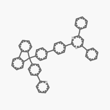 c1ccc(-c2cc(-c3ccccc3)nc(-c3ccc(-c4ccc(C5(c6ccc(-c7ccccn7)cc6)c6ccccc6-c6ccccc65)cc4)cc3)n2)cc1